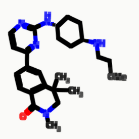 COCCN[C@H]1CC[C@H](Nc2nccc(-c3ccc4c(c3)C(C)(C)CN(C)C4=O)n2)CC1